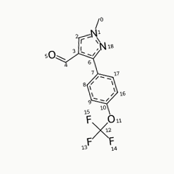 Cn1cc(C=O)c(-c2ccc(OC(F)(F)F)cc2)n1